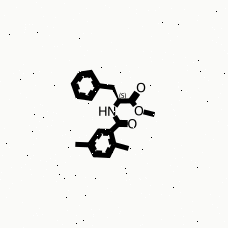 COC(=O)[C@H](Cc1ccccc1)NC(=O)c1cc(C)ccc1C